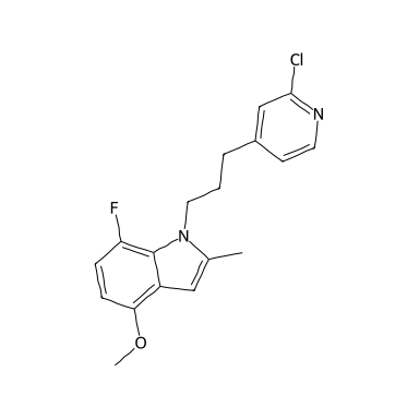 COc1ccc(F)c2c1cc(C)n2CCCc1ccnc(Cl)c1